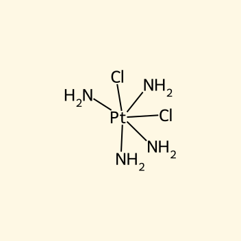 [NH2][Pt]([NH2])([NH2])([NH2])([Cl])[Cl]